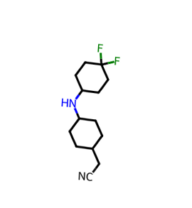 N#CCC1CCC(NC2CCC(F)(F)CC2)CC1